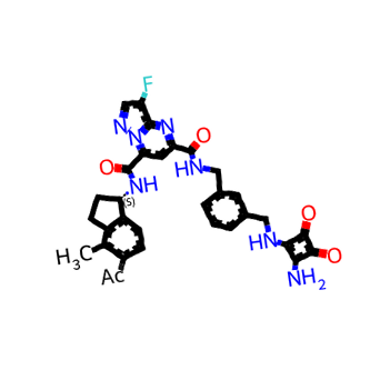 CC(=O)c1ccc2c(c1C)CC[C@@H]2NC(=O)c1cc(C(=O)NCc2cccc(CNc3c(N)c(=O)c3=O)c2)nc2c(F)cnn12